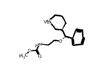 COC(=O)NCCO[C@@H](c1ccccc1)[C@@H]1CCCNC1